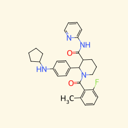 Cc1cccc(F)c1C(=O)N1CCCC(C(=O)Nc2ccccn2)C1c1ccc(NC2CCCC2)cc1